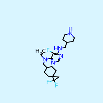 CCN(CC1CCC2(CC1)CC2(F)F)c1ncnc(NCC2CCNCC2)c1F